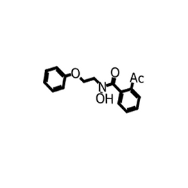 CC(=O)c1ccccc1C(=O)N(O)CCOc1ccccc1